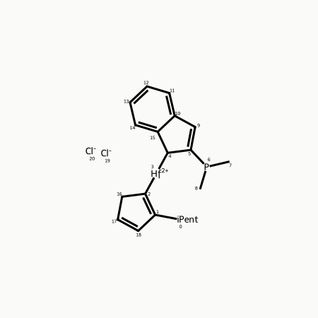 CCCC(C)C1=[C]([Hf+2][CH]2C(P(C)C)=Cc3ccccc32)CC=C1.[Cl-].[Cl-]